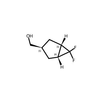 OC[C@@H]1C[C@@H]2[C@H](C1)C2(F)F